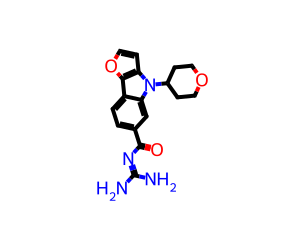 NC(N)=NC(=O)c1ccc2c3occc3n(C3CCOCC3)c2c1